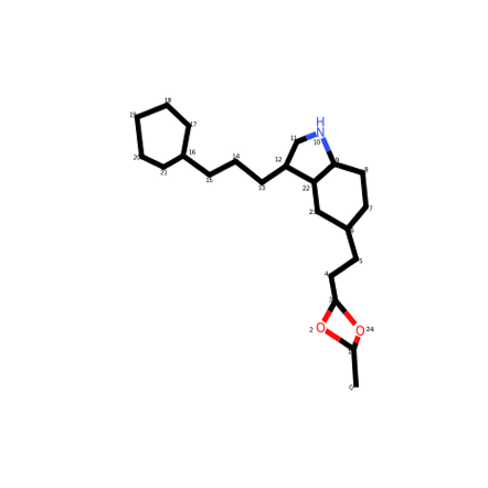 CC1OC(CCC2CCC3NCC(CCCC4CCCCC4)C3C2)O1